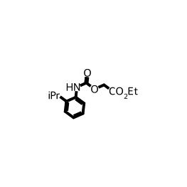 CCOC(=O)COC(=O)Nc1ccccc1C(C)C